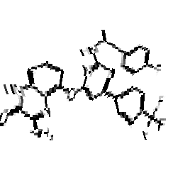 CC(Nc1nc(Oc2cccc3[nH]c(=O)c(N)nc23)cc(-c2ccc(C(F)(F)F)cc2)n1)c1ccc(F)cc1